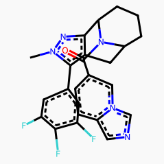 Cn1nc2c(c1-c1cc(F)c(F)c(F)c1)CC1CCCC2N1C(=O)c1ccc2cncn2c1